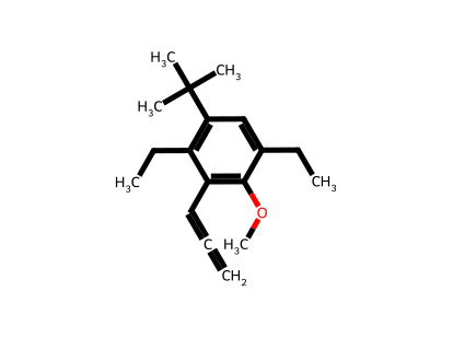 C=C=Cc1c(CC)c(C(C)(C)C)cc(CC)c1OC